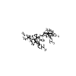 [2H]C([2H])([2H])n1cnc2c1c(=O)n(CCCC([2H])([2H])C([2H])(C)O)c(=O)n2C